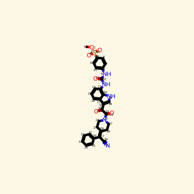 COS(=O)(=O)c1ccc(NC(=O)Nc2cccc3c(C(=O)C(=O)N4CCC(=C(C#N)c5ccccc5)CC4)c[nH]c23)cc1